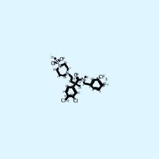 CN(Cc1ccc(F)c(C(F)(F)F)c1)C(=O)C(C)(CCN1CCCN(S(C)(=O)=O)CC1)c1ccc(Cl)c(Cl)c1